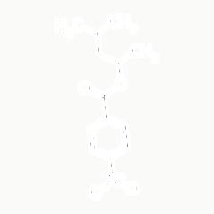 CC(C)CC(C)OC(=O)c1ccc([N+](=O)[O-])cc1